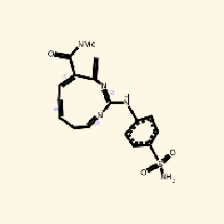 C=C1/N=C(Nc2ccc(S(N)(=O)=O)cc2)\N=C/C/C=C\C=C/1C(=O)NC